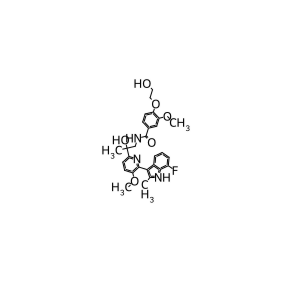 COc1cc(C(=O)NCC(C)(O)c2ccc(OC)c(-c3c(C)[nH]c4c(F)cccc34)n2)ccc1OCCO